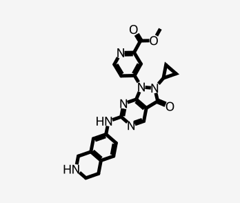 COC(=O)c1cc(-n2c3nc(Nc4ccc5c(c4)CNCC5)ncc3c(=O)n2C2CC2)ccn1